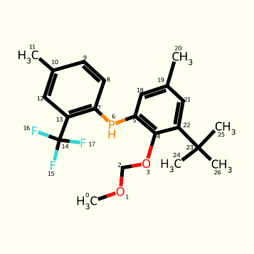 COCOc1c(Pc2ccc(C)cc2C(F)(F)F)cc(C)cc1C(C)(C)C